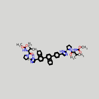 COC(=O)N[C@H](C(=O)N1CCC[C@H]1c1ncc(-c2ccc(-c3ccc(-c4ccc(-c5cnc([C@@H]6CCCN6C(=O)[C@@H](NC(=O)OC)C(C)C)[nH]5)c5c4C4CCC5C4)c4c3C3C=CC4C3)cc2)[nH]1)C(C)C